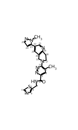 Cc1cc(C(=O)NCc2cncs2)nnc1N1CCc2ncc(-c3ccnn3C)cc2C1